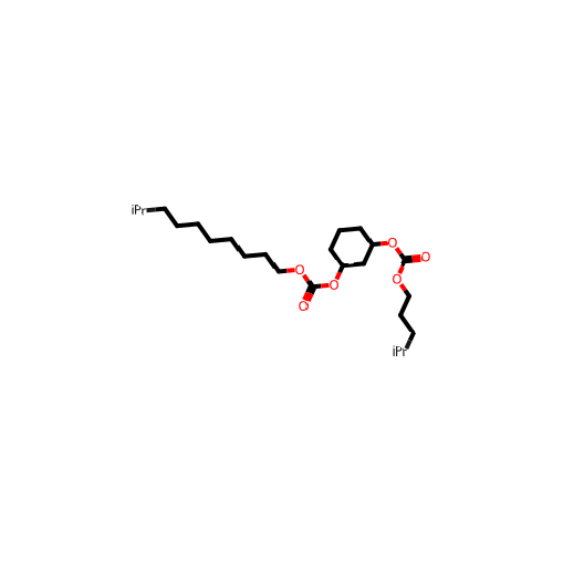 CC(C)CCCCCCCCOC(=O)OC1CCCC(OC(=O)OCCCC(C)C)C1